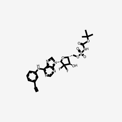 C#Cc1cccc(Nc2ncnc3c2ncn3[C@@H]2O[C@H](COS(=O)(=O)NC(=O)OC(C)(C)C)[C@@H](O)C2(F)F)c1